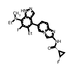 CCc1c(F)c(N(C)CC)c2[nH]ncc2c1-c1ccc2nc(NC(=O)[C@@H]3C[C@@H]3F)cn2c1